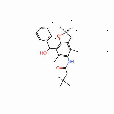 Cc1c2c(c(C(O)c3ccccc3)c(C)c1NC(=O)CC(C)(C)C)OC(C)(C)C2